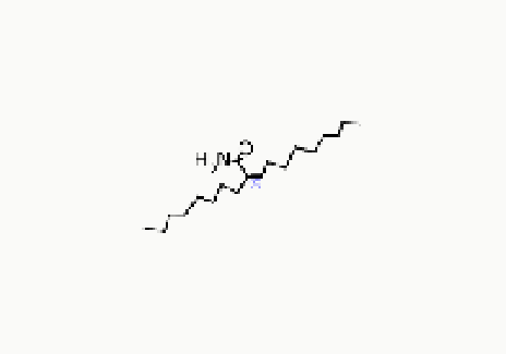 CCCCCCCC/C=C(/CCCCCCCC)C(N)=O